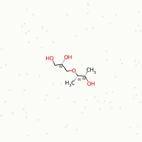 C[C@H](O)[C@H](C)OC[C@@H](O)CO